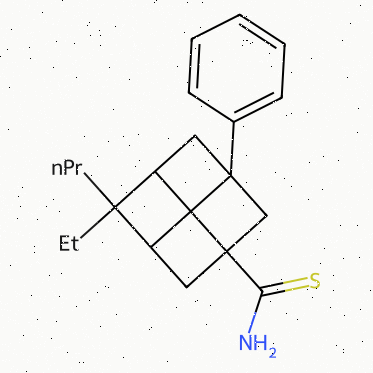 CCCC1(CC)C2CC3(C(N)=S)CC4(c5ccccc5)CC1C234